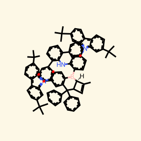 CC1=CC2[C@H]1B(c1ccc(-n3c4cc(C(C)(C)C)ccc4c4ccc(C(C)(C)C)cc43)cc1Nc1c(-c3ccccc3)cccc1-c1ccccc1)c1ccc(-n3c4cc(C(C)(C)C)ccc4c4ccc(C(C)(C)C)cc43)cc1C2(c1ccccc1)c1ccccc1